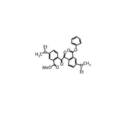 CCN(C)c1ccc(C(=O)C(=O)c2ccc(N(C)CC)cc2C(=O)Oc2ccccc2)c(C(=O)OC)c1